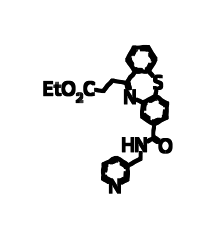 CCOC(=O)CCC1=Nc2cc(C(=O)NCc3cccnc3)ccc2Sc2ccccc21